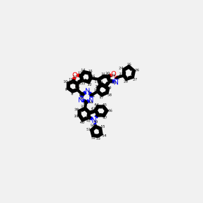 c1ccc(-c2nc(-c3cccc4oc5ccc(-c6ccc7nc(-c8ccccc8)oc7c6)cc5c34)nc(-c3cccc4c3c3ccccc3n4-c3ccccc3)n2)cc1